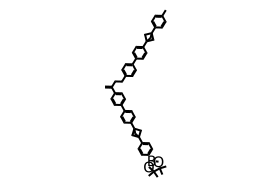 C=C(CCc1ccc(-c2ccc(C34CC(c5ccc(C)cc5)(C3)C4)cc2)cc1)c1ccc(-c2ccc(C34CC(c5ccc(B6OC(C)(C)C(C)(C)O6)cc5)(C3)C4)cc2)cc1